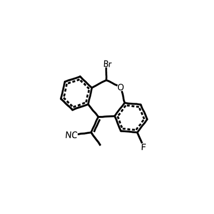 CC(C#N)=C1c2cc(F)ccc2OC(Br)c2ccccc21